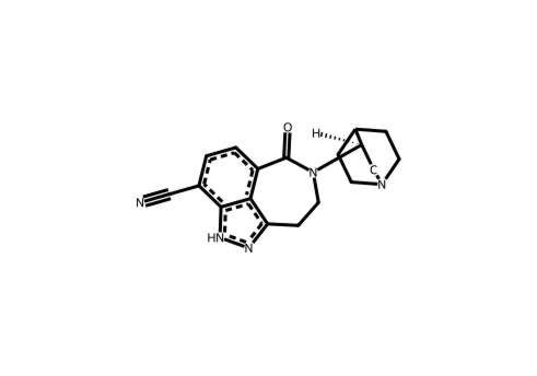 N#Cc1ccc2c3c(n[nH]c13)CCN([C@@H]1CN3CCC1CC3)C2=O